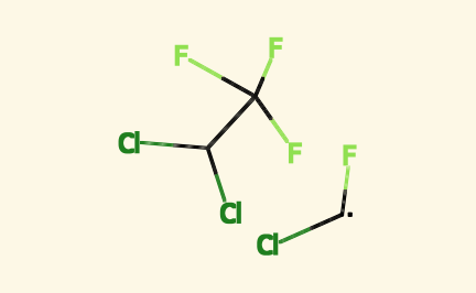 FC(F)(F)C(Cl)Cl.F[CH]Cl